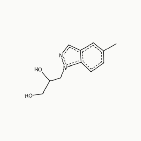 Cc1ccc2c(cnn2CC(O)CO)c1